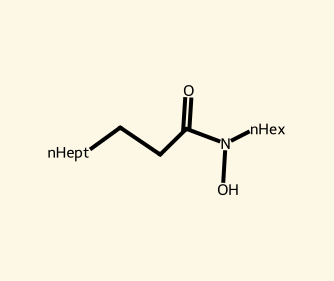 [CH2]CCCCCCCCC(=O)N(O)CCCCCC